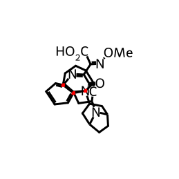 CO/N=C(\C(=O)O)c1nc2ccccc2n(C2CC3CCC(C2)N3C2CC3CCCCC(C3)C2)c1=O